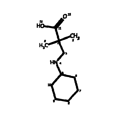 CC(C)(CNC1CCCCC1)C(=O)O